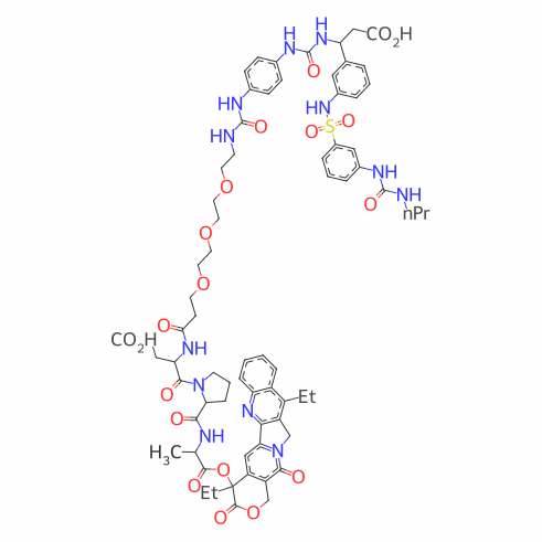 CCCNC(=O)Nc1cccc(S(=O)(=O)Nc2cccc(C(CC(=O)O)NC(=O)Nc3ccc(NC(=O)NCCOCCOCCOCCC(=O)NC(CC(=O)O)C(=O)N4CCCC4C(=O)NC(C)C(=O)OC4(CC)C(=O)OCc5c4cc4n(c5=O)Cc5c-4nc4ccccc4c5CC)cc3)c2)c1